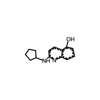 Oc1cccc2nc(NC3CCCC3)ccc12